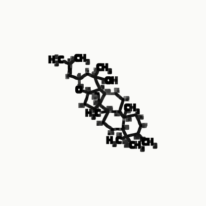 CC(C)=CC1CC(C)(O)C2C3CCC4C5(C)CCC(C)C(C)(C)C5CCC4(C)C34CCC2(C4)O1